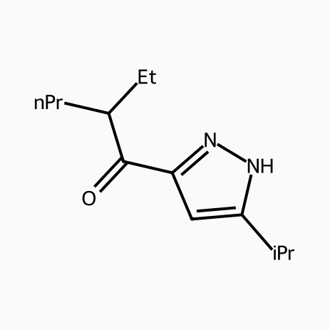 CCCC(CC)C(=O)c1cc(C(C)C)[nH]n1